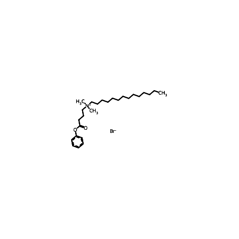 CCCCCCCCCCCCCC[N+](C)(C)CCCC(=O)Oc1ccccc1.[Br-]